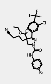 CCOC(=O)C1(CCCC#N)CN(C(=O)Nc2ccc(Br)cc2)N=C1c1ccc(C(F)(F)F)c(Cl)c1